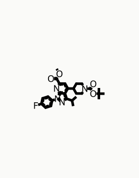 COC(=O)c1cc(C2CCN(C(=O)OC(C)(C)C)CC2)c2c(C(C)C)nn(-c3ccc(F)cc3)c2n1